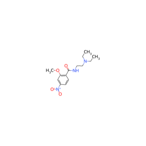 CCN(CC)CCNC(=O)c1ccc([N+](=O)[O-])cc1OC